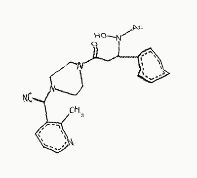 CC(=O)N(O)C(CC(=O)N1CCN(C(C#N)c2cccnc2C)CC1)c1ccccc1